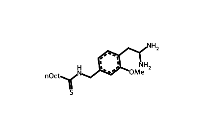 CCCCCCCCC(=S)NCc1ccc(CC(N)N)c(OC)c1